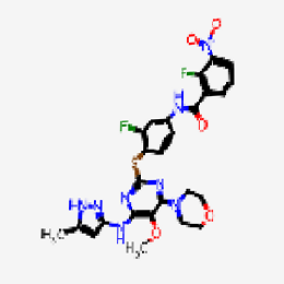 COc1c(Nc2cc(C)[nH]n2)nc(Sc2ccc(NC(=O)c3cccc([N+](=O)[O-])c3F)cc2F)nc1N1CCOCC1